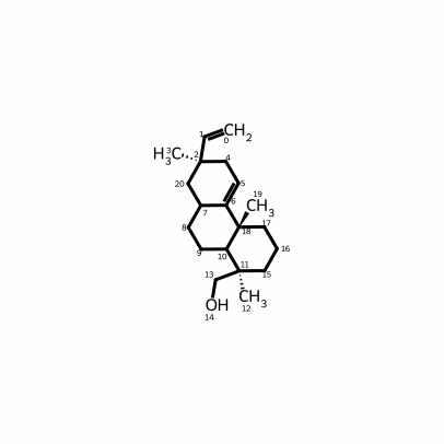 C=C[C@@]1(C)CC=C2C(CCC3[C@](C)(CO)CCC[C@@]23C)C1